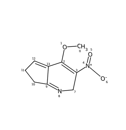 COC1=C([N+](=O)[O-])CN=C2CCC=C21